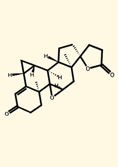 C[C@]12CCC(=O)C=C1[C@@H]1C[C@@H]1[C@H]1[C@@H]3CC[C@@]4(CCC(=O)O4)[C@@]3(C)C[C@H]3OC132